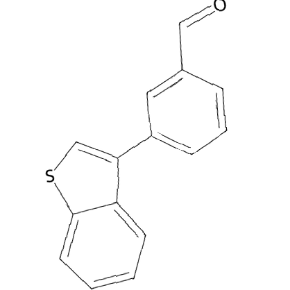 O=Cc1cccc(-c2csc3ccccc23)c1